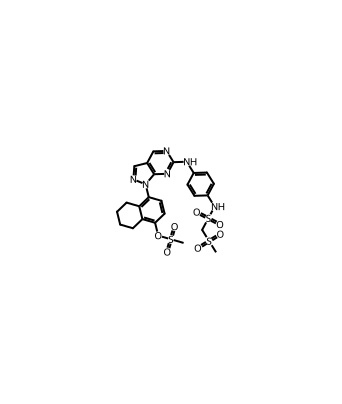 CS(=O)(=O)CS(=O)(=O)Nc1ccc(Nc2ncc3cnn(-c4ccc(OS(C)(=O)=O)c5c4CCCC5)c3n2)cc1